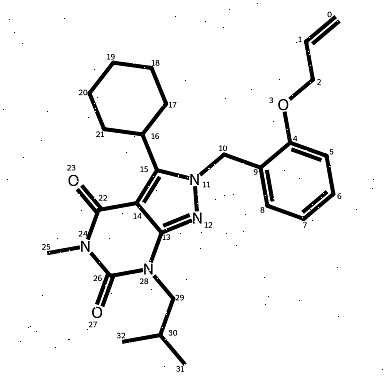 C=CCOc1ccccc1Cn1nc2c(c1C1CCCCC1)c(=O)n(C)c(=O)n2CC(C)C